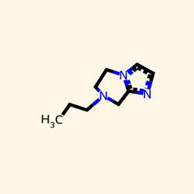 CCCN1CCn2ccnc2C1